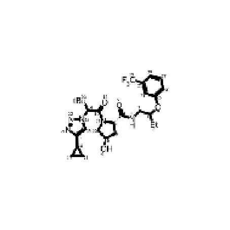 CCC(CNC(=O)[C@@H]1C[C@@H](O)CN1C(=O)C(n1cc(C2CC2)nn1)C(C)(C)C)Oc1cccc(C(F)(F)F)c1